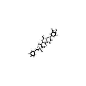 C=CCC(C(=O)NS(=O)(=O)C=Cc1ccccc1)C(=O)N1CCN(c2ccc(C)c(C)c2)CC1